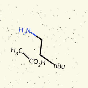 CC(=O)O.CCCCCCN